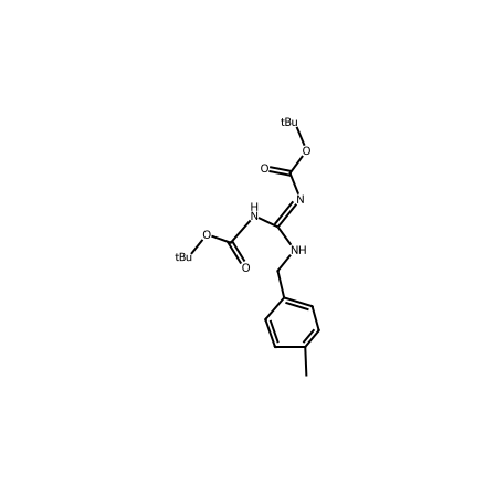 Cc1ccc(CN/C(=N/C(=O)OC(C)(C)C)NC(=O)OC(C)(C)C)cc1